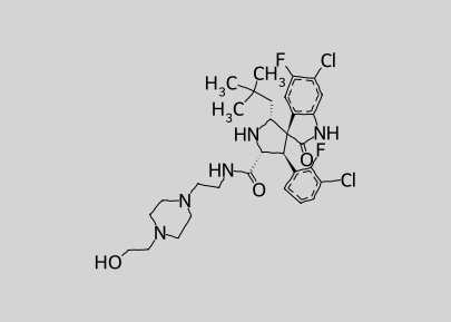 CC(C)(C)C[C@H]1N[C@@H](C(=O)NCCN2CCN(CCO)CC2)[C@H](c2cccc(Cl)c2F)[C@@]12C(=O)Nc1cc(Cl)c(F)cc12